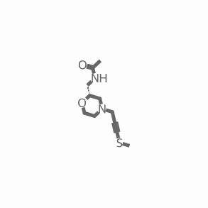 CSC#CCN1CCO[C@H](CNC(C)=O)C1